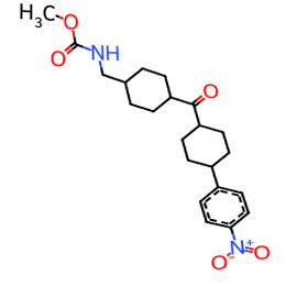 COC(=O)NCC1CCC(C(=O)C2CCC(c3ccc([N+](=O)[O-])cc3)CC2)CC1